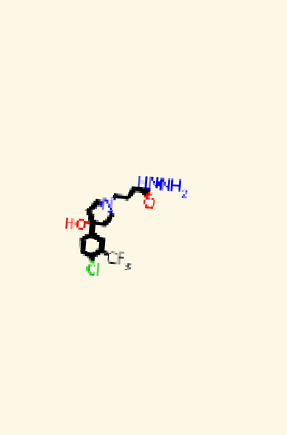 NNC(=O)CCCN1CCC(O)(c2ccc(Cl)c(C(F)(F)F)c2)CC1